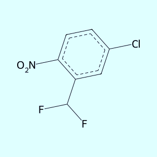 O=[N+]([O-])c1ccc(Cl)cc1C(F)F